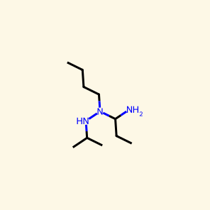 CCCCN(NC(C)C)C(N)CC